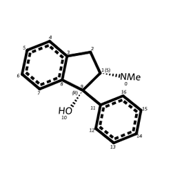 CN[C@H]1Cc2ccccc2[C@]1(O)c1ccccc1